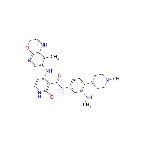 CNc1cc(NC(=O)c2c(Nc3cnc4c(c3C)NCCO4)cc[nH]c2=O)ccc1N1CCN(C)CC1